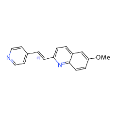 COc1ccc2nc(/C=C/c3ccncc3)ccc2c1